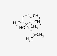 C=C(C)C#CC1(O)C(C)CCC(C)C1(C)C